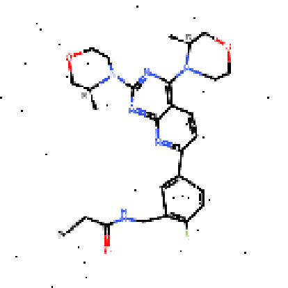 CC(C)CC(=O)NCc1cc(-c2ccc3c(N4CCOC[C@@H]4C)nc(N4CCOC[C@@H]4C)nc3n2)ccc1F